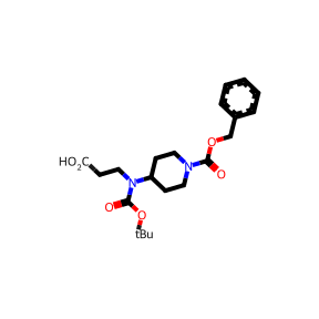 CC(C)(C)OC(=O)N(CCC(=O)O)C1CCN(C(=O)OCc2ccccc2)CC1